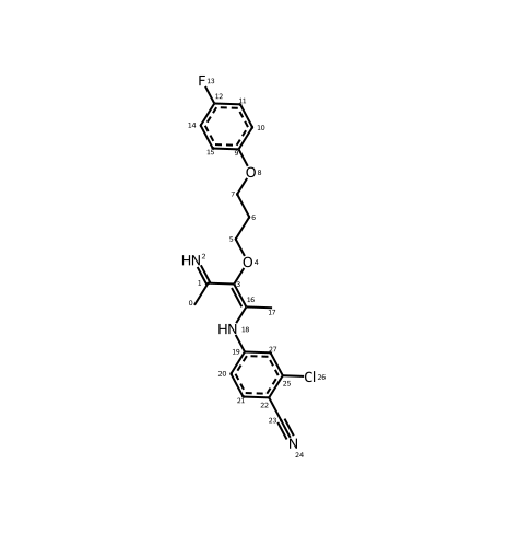 CC(=N)/C(OCCCOc1ccc(F)cc1)=C(/C)Nc1ccc(C#N)c(Cl)c1